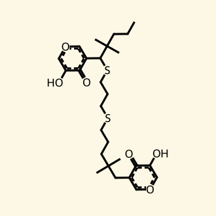 CCCC(C)(C)C(SCCCSCCCC(C)(C)Cc1cocc(O)c1=O)c1cocc(O)c1=O